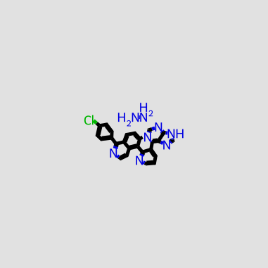 Cc1ccc2c(-c3ccc(Cl)cc3)nccc2c1-c1ncccc1-c1ncnc2[nH]cnc12.NN